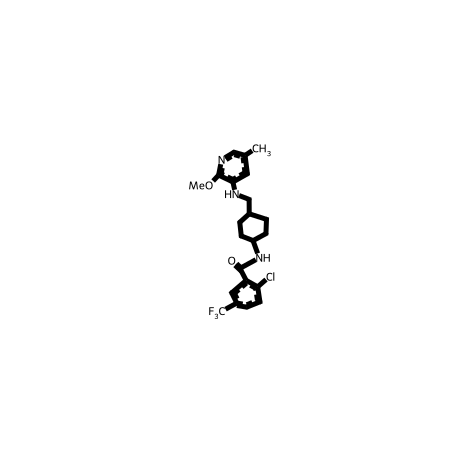 COc1ncc(C)cc1NCC1CCC(NC(=O)c2cc(C(F)(F)F)ccc2Cl)CC1